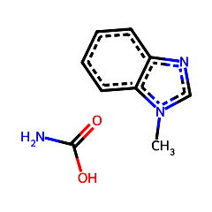 Cn1cnc2ccccc21.NC(=O)O